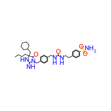 CCCCC1(CC2CCCCC2)NC(=N)N(Cc2ccc(CNC(=O)NCCc3ccc(S(N)(=O)=O)cc3)cc2)C1=O